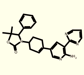 CC1(C)OC(=O)N(C2CC=C(c3cnc(N)c(-c4ncccn4)c3)CC2)C1c1ccccc1